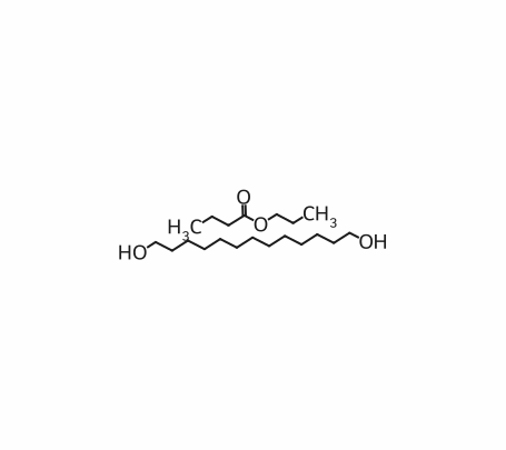 CCCOC(=O)CCC.OCCCCCCCCCCCCCO